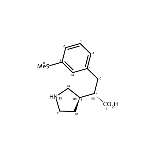 CSc1cccc(C[C@H](C(=O)O)[C@H]2CCNC2)c1